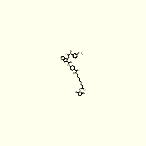 CCN(C(=O)Cn1c(C(=O)NC2CCC(C(=O)NCCCCCCCC(=O)ON3C(=O)CCC3=O)CC2)cc2sccc21)c1cccc(C)c1